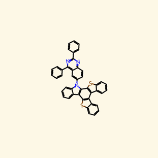 c1ccc(-c2nc(-c3ccccc3)c3cc(-n4c5ccccc5c5c6sc7ccccc7c6c6c7ccccc7sc6c54)ccc3n2)cc1